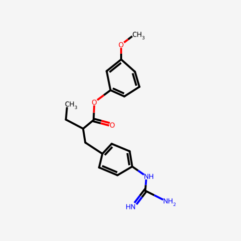 CCC(Cc1ccc(NC(=N)N)cc1)C(=O)Oc1cccc(OC)c1